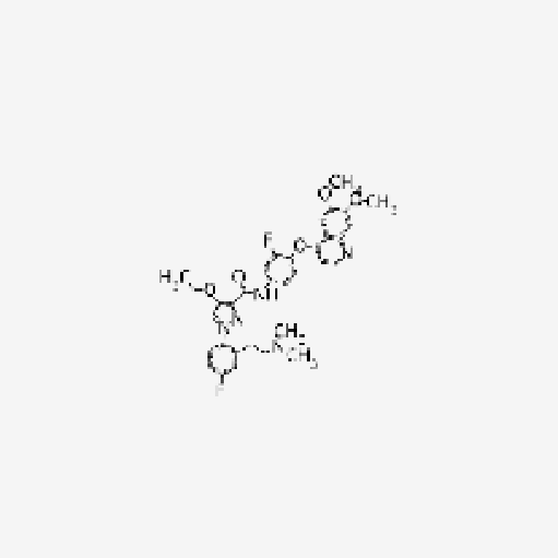 CCOc1cn(-c2ccc(F)cc2CCN(C)C)nc1C(=O)Nc1ccc(Oc2ccnc3cc(OC)c(OC)cc23)c(F)c1